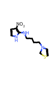 O=[N+]([O-])c1cc[nH]c1NCCCCN1C=CSC1